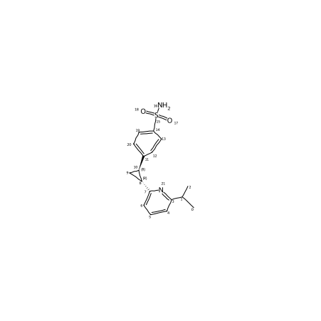 CC(C)c1cccc([C@@H]2C[C@H]2c2ccc(S(N)(=O)=O)cc2)n1